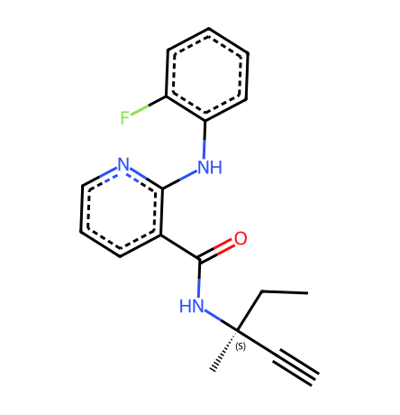 C#C[C@](C)(CC)NC(=O)c1cccnc1Nc1ccccc1F